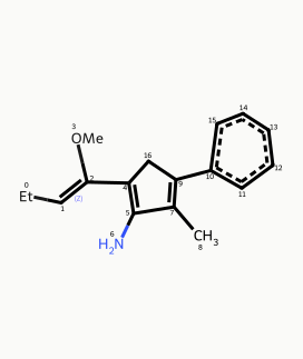 CC/C=C(\OC)C1=C(N)C(C)=C(c2ccccc2)C1